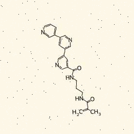 C=C(C)C(=O)NCCCNC(=O)c1cncc(-c2cncc(-c3cccnc3)c2)c1